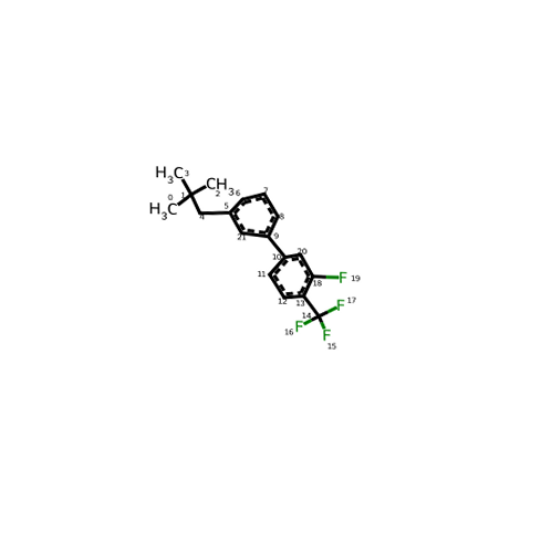 CC(C)(C)Cc1cccc(-c2ccc(C(F)(F)F)c(F)c2)c1